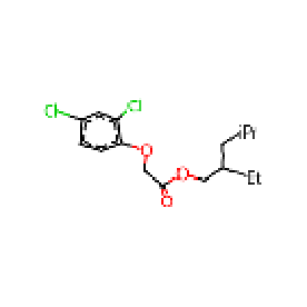 CCC(COC(=O)COc1ccc(Cl)cc1Cl)CC(C)C